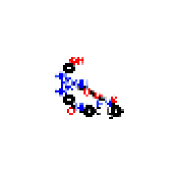 Cc1ccc(CNC(=O)c2ccc(Nc3nc(NCCOCCOCCNC(=O)c4ccccc4)nc(Nc4ccc(O)cc4)n3)cc2)cc1